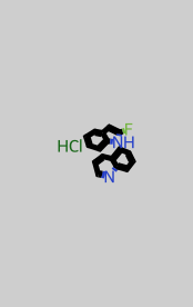 Cl.Fc1cc2ccccc2[nH]1.c1ccc2ncccc2c1